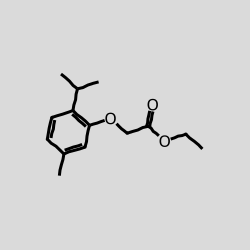 CCOC(=O)COc1cc(C)ccc1C(C)C